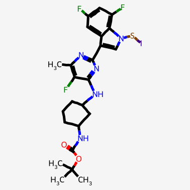 Cc1nc(-c2cn(SI)c3c(F)cc(F)cc23)nc(NC2CCCC(NC(=O)OC(C)(C)C)C2)c1F